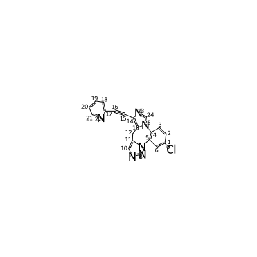 Clc1ccc2c(c1)-n1nncc1Cc1c(C#Cc3ccccn3)ncn1-2